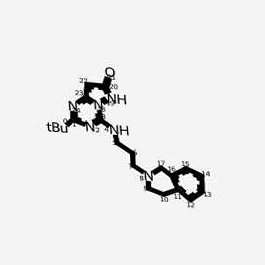 CC(C)(C)c1nc(NCCCN2CCc3ccccc3C2)n2[nH]c(=O)cc2n1